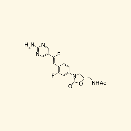 CC(=O)NC[C@H]1CN(c2ccc(/C=C(\F)c3cnc(N)nc3)c(F)c2)C(=O)O1